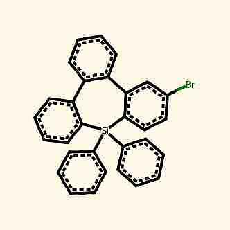 Brc1ccc2c(c1)-c1ccccc1-c1ccccc1[Si]2(c1ccccc1)c1ccccc1